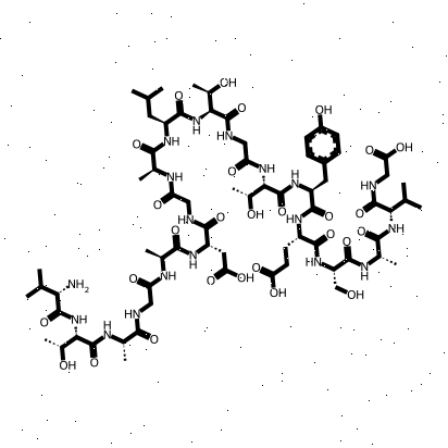 CC(C)C[C@H](NC(=O)[C@H](C)NC(=O)CNC(=O)[C@H](CC(=O)O)NC(=O)[C@H](C)NC(=O)CNC(=O)[C@H](C)NC(=O)[C@@H](NC(=O)[C@@H](N)C(C)C)[C@@H](C)O)C(=O)N[C@H](C(=O)NCC(=O)N[C@H](C(=O)N[C@@H](Cc1ccc(O)cc1)C(=O)N[C@@H](CCC(=O)O)C(=O)N[C@@H](CO)C(=O)N[C@@H](C)C(=O)N[C@H](C(=O)NCC(=O)O)C(C)C)[C@@H](C)O)[C@@H](C)O